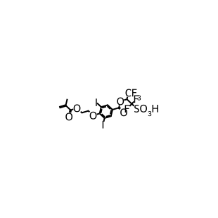 C=C(C)C(=O)OCCOc1c(I)cc(C(=O)OC(C(F)(F)F)C(F)(F)S(=O)(=O)O)cc1I